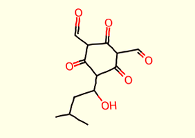 CC(C)CC(O)C1C(=O)C(C=O)C(=O)C(C=O)C1=O